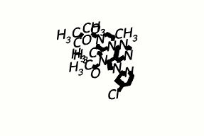 CCN(C(C)=O)c1cn(-c2cc(Cl)ccn2)c2ncnc(N3CCN(C(=O)OC(C)(C)C)CC3C)c12